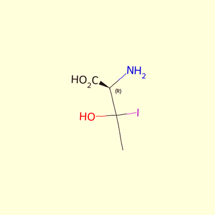 CC(O)(I)[C@H](N)C(=O)O